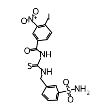 NS(=O)(=O)c1cccc(CNC(=S)NC(=O)c2ccc(I)c([N+](=O)[O-])c2)c1